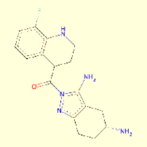 Nc1c2c(nn1C(=O)C1CCNc3c(F)cccc31)CC[C@@H](N)C2